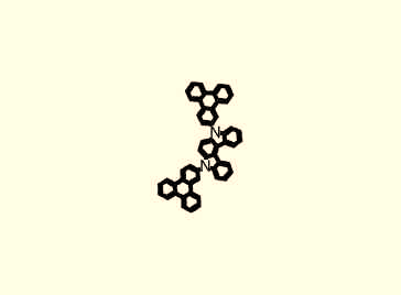 c1ccc2c(c1)c1ccccc1c1cc(-n3c4ccccc4c4c5c6ccccc6n(-c6ccc7c8ccccc8c8ccccc8c7c6)c5ccc43)ccc21